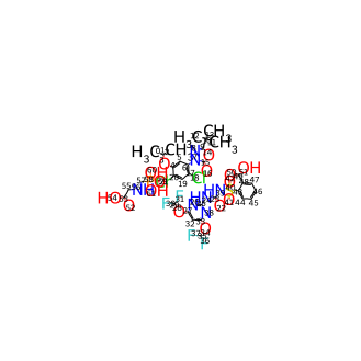 CC(C)Oc1cc(-n2nc(C(C)(C)C)oc2=O)c(Cl)cc1Cl.O=C(Nc1nc(OC(F)F)cc(OC(F)F)n1)NS(=O)(=O)c1ccccc1C(=O)O.O=C(O)CNCP(=O)(O)O